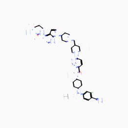 CN(c1ccc(C#N)c(Cl)c1)C1CCC(NC(=O)c2ccc(N3CCC(CN4CCC(n5ccc6c(N7CCC(=O)NC7=O)ncnc65)CC4)CC3)nn2)CC1.Cl